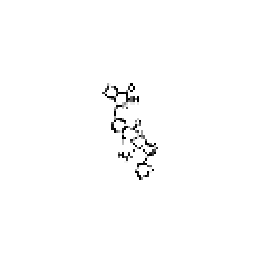 C[C@@H]1CN(C(=O)c2cc(Cc3n[nH]c(=O)c4ccccc34)ccc2F)Cc2nnc(-c3ccccn3)n21